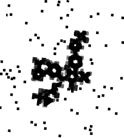 CC(C)(C)C[C@]1(c2ccc(-c3cnn(S(C)(=O)=O)c3)cc2)NC(=N)N([C@H](COC(=O)NC2(C(F)(F)F)CC2)c2ccc(Cl)c(-n3ncnc3C(F)F)c2)C1=O